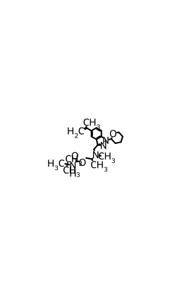 C=C(C)c1ccc2c(c1)c(CN(C)C(C)COC(=O)NC(C)(C)C)nn2C1CCCCO1